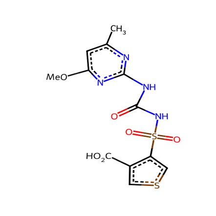 COc1cc(C)nc(NC(=O)NS(=O)(=O)c2cscc2C(=O)O)n1